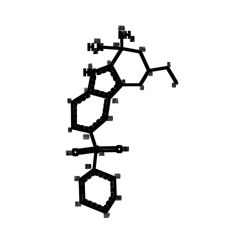 CCC1Cc2c([nH]c3ccc(S(=O)(=O)c4ccccc4)cc23)C(N)(N)C1